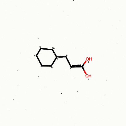 OC(O)=CCC1CCCCC1